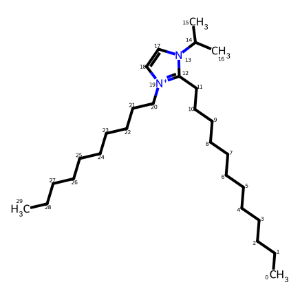 CCCCCCCCCCCCc1n(C(C)C)cc[n+]1CCCCCCCCCC